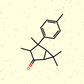 Cc1ccc(C2(C)C(C)C(=O)C3C2C3(C)C)cc1